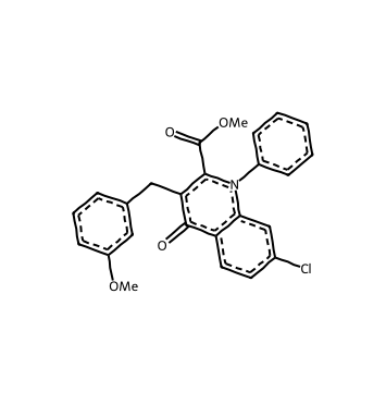 COC(=O)c1c(Cc2cccc(OC)c2)c(=O)c2ccc(Cl)cc2n1-c1ccccc1